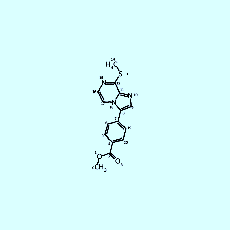 COC(=O)c1ccc(-c2cnc3c(SC)nccn23)cc1